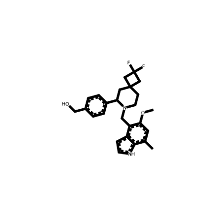 COc1cc(C)c2[nH]ccc2c1CN1CCC2(CC1c1ccc(CO)cc1)CC(F)(F)C2